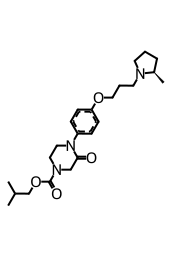 CC(C)COC(=O)N1CCN(c2ccc(OCCCN3CCC[C@H]3C)cc2)C(=O)C1